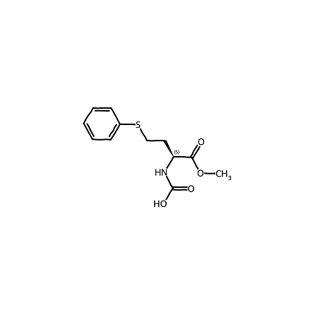 COC(=O)[C@H](CCSc1ccccc1)NC(=O)O